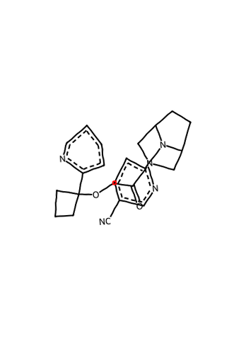 N#Cc1ccc(N2C3CCC2CN(C(=O)COC2(c4ccccn4)CCC2)C3)nc1